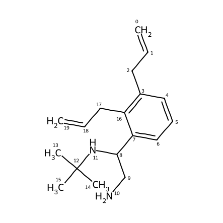 C=CCc1cccc(C(CN)NC(C)(C)C)c1CC=C